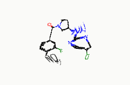 O=C(c1ccc([N+](=O)[O-])c(F)c1)N1CC[C@@H](Nc2ncc(Cl)cn2)C1